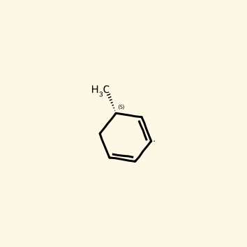 C[C@@H]1C=[C]C=CC1